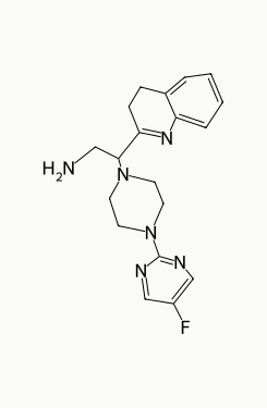 NCC(C1=Nc2ccccc2CC1)N1CCN(c2ncc(F)cn2)CC1